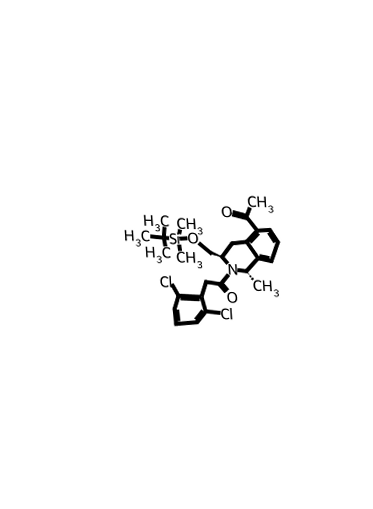 CC(=O)c1cccc2c1C[C@H](CO[Si](C)(C)C(C)(C)C)N(C(=O)Cc1c(Cl)cccc1Cl)[C@H]2C